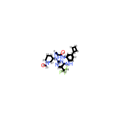 C=CC(=O)Nc1cc(C2CCC2)ccc1Nc1nc(N[C@H]2CCCN(C=O)C2)ncc1C(F)(F)F